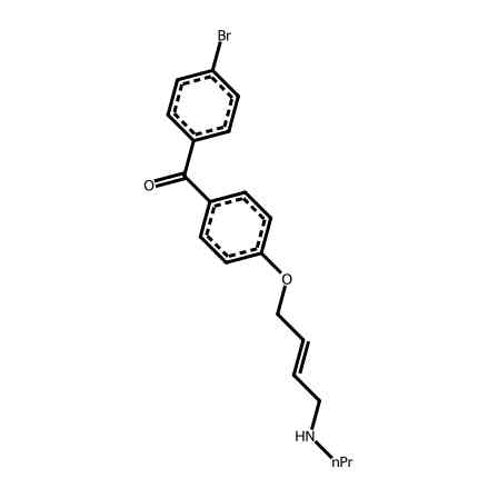 CCCNCC=CCOc1ccc(C(=O)c2ccc(Br)cc2)cc1